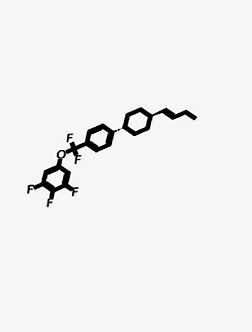 CCC=C[C@H]1CC[C@H](c2ccc(C(F)(F)Oc3cc(F)c(F)c(F)c3)cc2)CC1